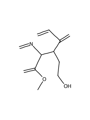 C=CC(=C)C(CCO)C(N=C)C(=C)OC